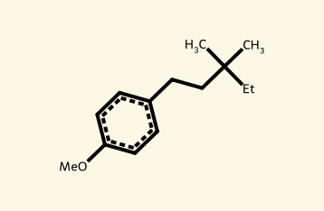 CCC(C)(C)CCc1ccc(OC)cc1